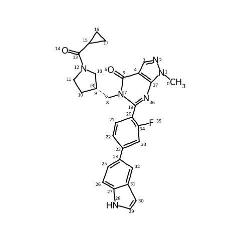 Cn1ncc2c(=O)n(C[C@@H]3CCN(C(=O)C4CC4)C3)c(-c3ccc(-c4ccc5[nH]ccc5c4)cc3F)nc21